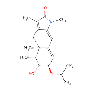 CC1=C2C[C@@]3(C)C(=C[C@@H](OC(C)C)[C@H](O)[C@@H]3C)C=C2N(C)C1=O